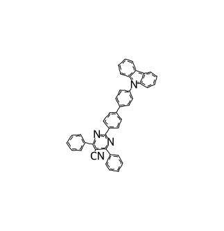 N#Cc1c(-c2ccccc2)nc(-c2ccc(-c3ccc(-n4c5ccccc5c5ccccc54)cc3)cc2)nc1-c1ccccc1